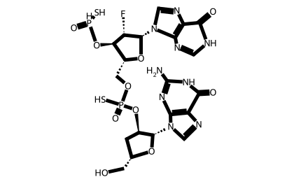 Nc1nc2c(ncn2[C@@H]2O[C@H](CO)C[C@H]2OP(=O)(S)OC[C@H]2O[C@@H](n3cnc4c(=O)[nH]cnc43)[C@@H](F)[C@@H]2O[PH](=O)S)c(=O)[nH]1